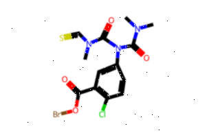 CN(C)C(=O)N(C(=O)N(C)C=S)c1ccc(Cl)c(C(=O)OBr)c1